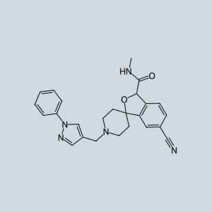 CNC(=O)C1OC2(CCN(Cc3cnn(-c4ccccc4)c3)CC2)c2cc(C#N)ccc21